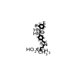 CC(C)(CCc1ncc(-c2ccc(NC(=O)Nc3ccc(F)cc3F)cc2)s1)C(=O)O